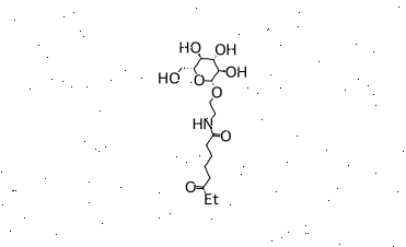 CCC(=O)CCCCC(=O)NCCO[C@@H]1O[C@H](CO)[C@@H](O)[C@H](O)[C@H]1O